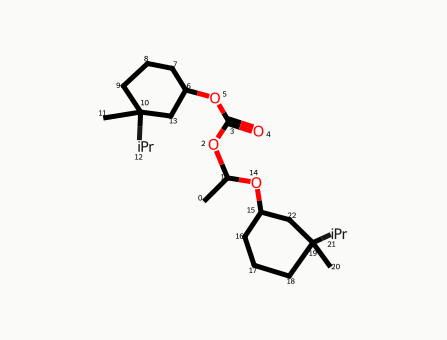 CC(OC(=O)OC1CCCC(C)(C(C)C)C1)OC1CCCC(C)(C(C)C)C1